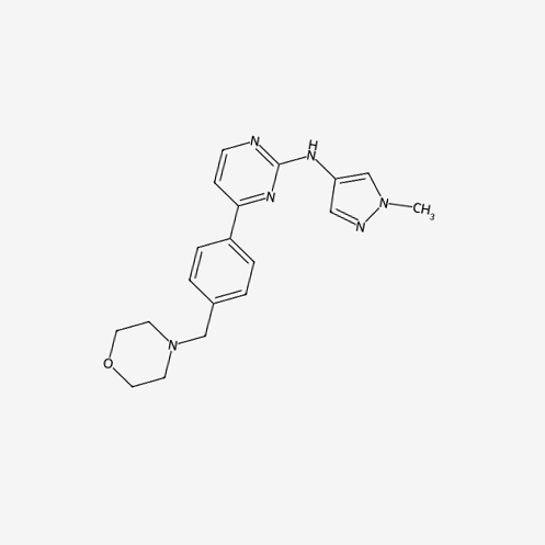 Cn1cc(Nc2nccc(-c3ccc(CN4CCOCC4)cc3)n2)cn1